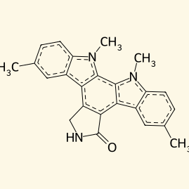 Cc1ccc2c(c1)c1c3c(c4c5cc(C)ccc5n(C)c4c1n2C)C(=O)NC3